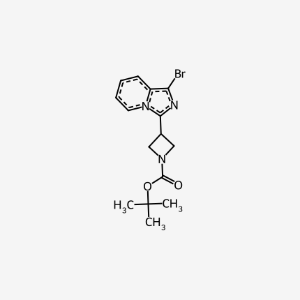 CC(C)(C)OC(=O)N1CC(c2nc(Br)c3ccccn23)C1